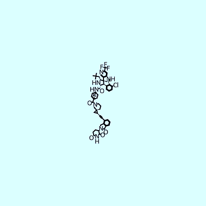 CC(C)(C)C[C@@H]1N[C@@H](C(=O)NC23CCC(C(=O)N4CCC[C@@]5(C[C@@H]5C#Cc5cccc6c5CN(C5CCC(=O)NC5=O)C6=O)C4)(CC2)CC3)[C@H](c2cccc(Cl)c2F)[C@]12CNc1cc(C(F)(F)F)ncc12